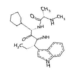 CC[C@H](C(=N)C(=O)[C@@H](NC(=O)[C@H](C)NC)C1CCCCC1)c1c[nH]c2ccccc12